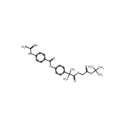 CC(C)(C)OC(=O)COC(=O)C(C)(C)c1ccc(OC(=O)c2ccc(NC(=N)N)cc2)cc1